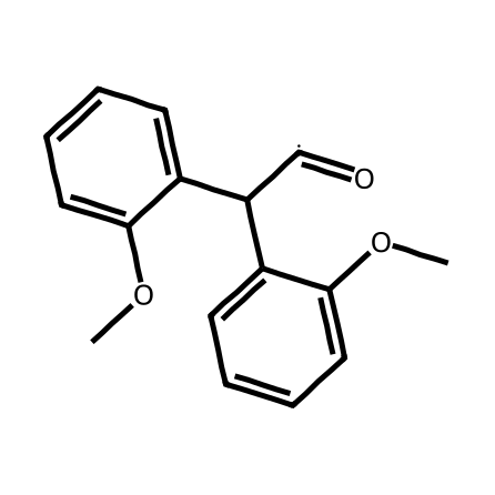 COc1ccccc1C([C]=O)c1ccccc1OC